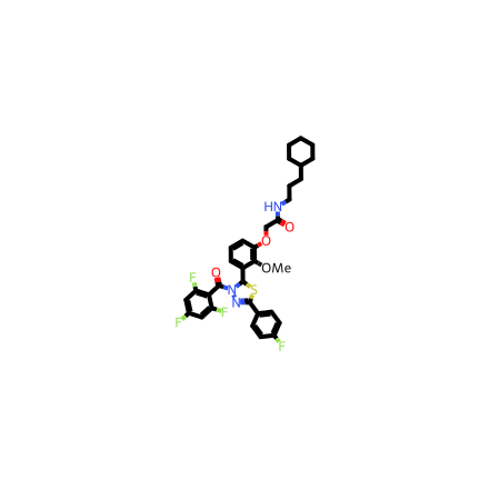 COc1c(OCC(=O)NCCCC2CCCCC2)cccc1C1SC(c2ccc(F)cc2)=NN1C(=O)c1c(F)cc(F)cc1F